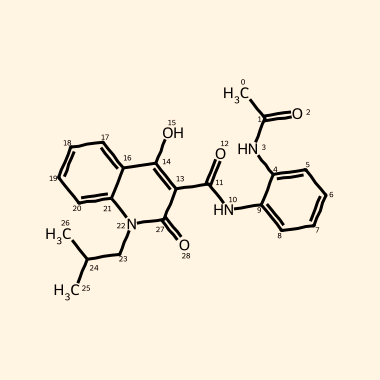 CC(=O)Nc1ccccc1NC(=O)c1c(O)c2ccccc2n(CC(C)C)c1=O